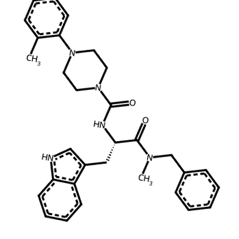 Cc1ccccc1N1CCN(C(=O)N[C@@H](Cc2c[nH]c3ccccc23)C(=O)N(C)Cc2ccccc2)CC1